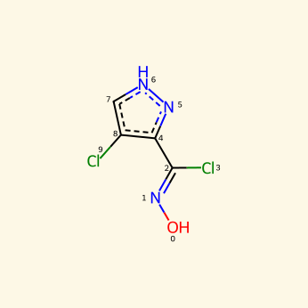 ON=C(Cl)c1n[nH]cc1Cl